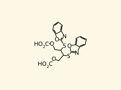 O=C(O)OCC(Sc1nc2ccccc2o1)C(COC(=O)O)Sc1nc2ccccc2o1